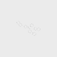 c1ccc(N(c2ccc(-c3ccc4ccccc4c3)cc2)c2ccc3sc4cccc(-c5cccc6ccccc56)c4c3c2)cc1